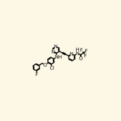 O=C(Nc1cccc(C#Cc2cncnc2Nc2ccc(OCc3cccc(F)c3)c(Cl)c2)n1)C(F)(F)F